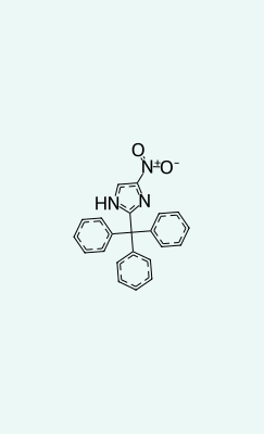 O=[N+]([O-])c1c[nH]c(C(c2ccccc2)(c2ccccc2)c2ccccc2)n1